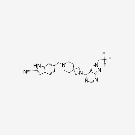 N#Cc1cc2ccc(CN3CCC4(CC3)CN(c3ncnc5nn(CC(F)(F)F)cc35)C4)cc2[nH]1